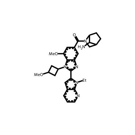 CCn1c(-c2nc3cc(C(=O)N4CC5CCC4C5N)cc(OC)c3n2C2CC(OC)C2)cc2cccnc21